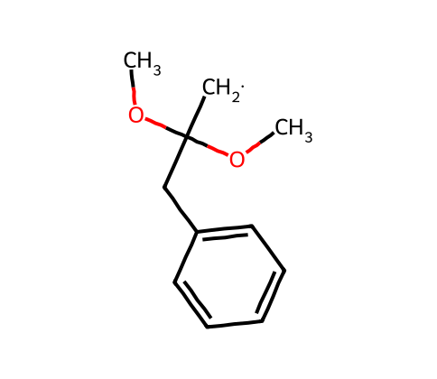 [CH2]C(Cc1ccccc1)(OC)OC